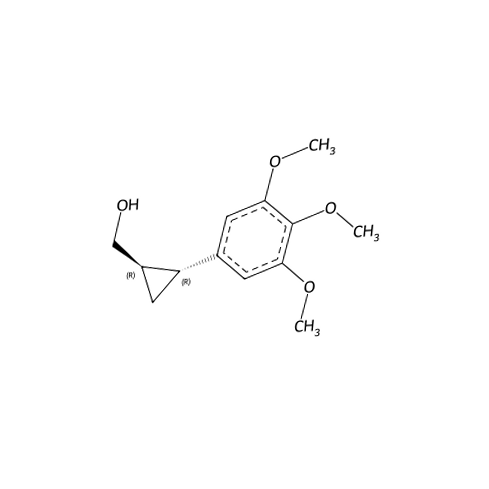 COc1cc([C@@H]2C[C@H]2CO)cc(OC)c1OC